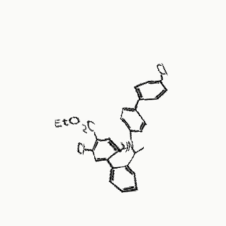 CCOC(=O)c1ccc(-c2ccccc2C(C)Nc2ccc(-c3ccc(Cl)cc3)cc2)cc1Cl